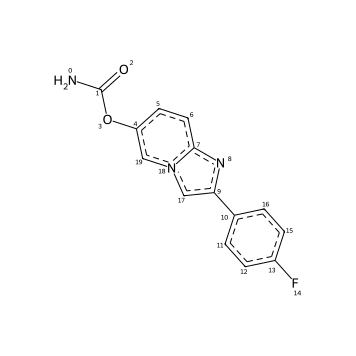 NC(=O)Oc1ccc2nc(-c3ccc(F)cc3)cn2c1